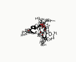 CCCCCCCCCCNCCN[C@@]1(C)CC(OC2C(Oc3c4cc5cc3Oc3ccc(cc3Cl)[C@@H](O)[C@@H](NC(=O)[C@@H](CC(C)C)NC)C(=O)N[C@@H](CC(N)=O)C(=O)N[C@H]5C(=O)N[C@H]3C(=O)N[C@H](C(=O)N[C@H](C(=O)O)c5cc(O)c(CNCP(=O)(O)O)c(O)c5-c5cc3ccc5I)[C@H](O)c3ccc(c(Cl)c3)O4)O[C@H](CO)[C@@H](O)[C@@H]2O)O[C@@H](C)[C@@H]1O